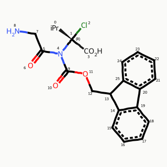 CC(C)[C@@](Cl)(C(=O)O)N(C(=O)CN)C(=O)OCC1c2ccccc2-c2ccccc21